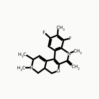 C=C1C2=C(C3=CC(C)N(C)CC3CO2)c2cc(F)c(C)c(F)c2N1C